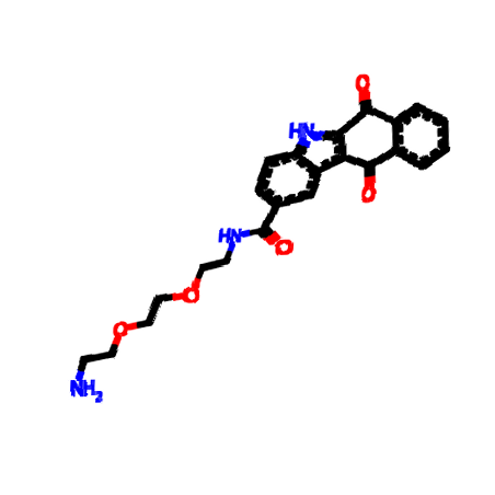 NCCOCCOCCNC(=O)c1ccc2[nH]c3c(c2c1)C(=O)c1ccccc1C3=O